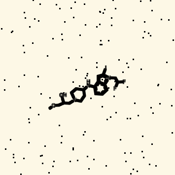 COCC(O)CN1CCC(Nc2cccc3c2cc(I)n3CC(F)F)CC1